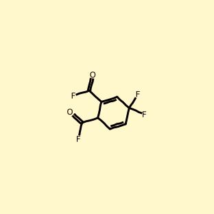 O=C(F)C1=CC(F)(F)C=CC1C(=O)F